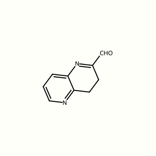 O=CC1=Nc2cccnc2CC1